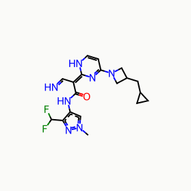 Cn1cc(NC(=O)/C(C=N)=C2\N=C(N3CC(CC4CC4)C3)C=CN2)c(C(F)F)n1